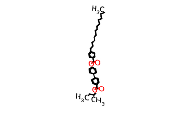 CCCCCCCCCCCCCCCc1ccc(C(=O)Oc2ccc(-c3ccc(C(=O)OCC(C)CC)cc3)cc2)cc1